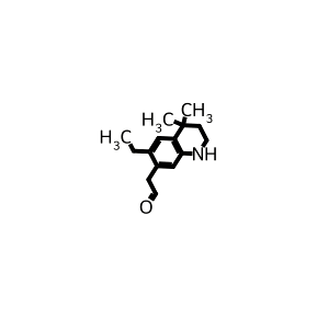 CCc1cc2c(cc1CC=O)NCCC2(C)C